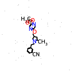 CC1CC(COc2cnc(S(C)(=O)=O)cn2)CN1CCc1cccc(C#N)c1